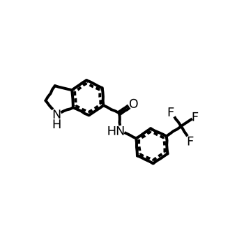 O=C(Nc1cccc(C(F)(F)F)c1)c1ccc2c(c1)NCC2